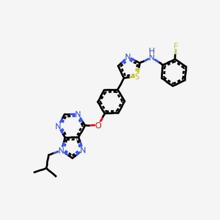 CC(C)Cn1cnc2c(Oc3ccc(-c4cnc(Nc5ccccc5F)s4)cc3)ncnc21